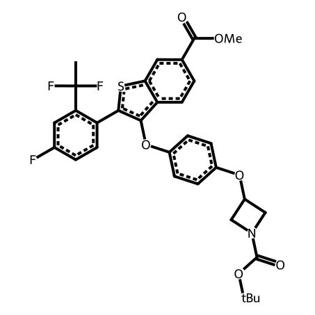 COC(=O)c1ccc2c(Oc3ccc(OC4CN(C(=O)OC(C)(C)C)C4)cc3)c(-c3ccc(F)cc3C(C)(F)F)sc2c1